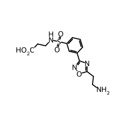 NCCc1nc(-c2cccc(S(=O)(=O)NCCC(=O)O)c2)no1